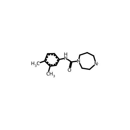 Cc1ccc(NC(=O)N2CCC[N]CC2)cc1C